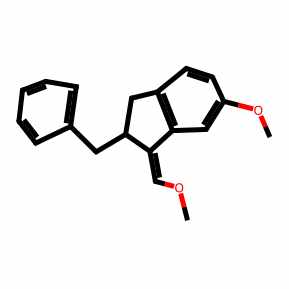 CO/C=C1\c2cc(OC)ccc2CC1Cc1ccccc1